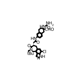 CC(C)(C)CN1Cc2c(cc(Cl)c3[nH]ncc23)C[C@@H](CC(=O)Nc2ccc3c(c2)CCC(C=O)(NC(N)=O)C3)C1=O